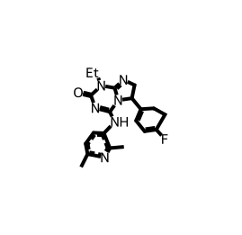 CCN1C(=O)N=C(Nc2ccc(C)nc2C)N2C1=NCC2C1=CC=C(F)CC1